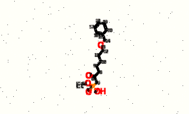 CCOP(=O)(O)CC(=O)CCCCCOCc1ccccc1